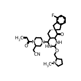 C=CC(=O)N1CCN(C2NC(OCC3CCCN3C)NC3C(=O)[C@]4(CCC32)Cc2cccc(F)c2C4)CC1CC#N